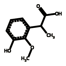 COc1c(O)cccc1C(C)C(=O)O